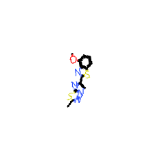 COc1cccc2sc(-c3cn4nc(C)sc4n3)nc12